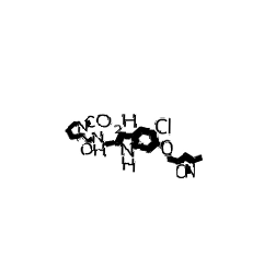 Cc1cc(COc2cc3[nH]c(CNC(=O)[C@H]4CCCN4C(=O)O)cc3cc2Cl)on1